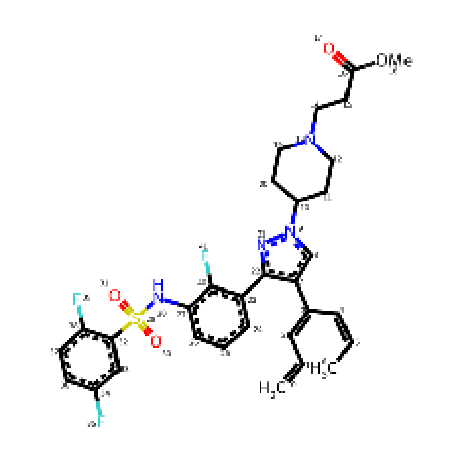 C=C/C=C(\C=C/C)c1cn(C2CCN(CCC(=O)OC)CC2)nc1-c1cccc(NS(=O)(=O)c2cc(F)ccc2F)c1F